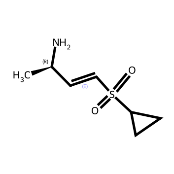 C[C@@H](N)/C=C/S(=O)(=O)C1CC1